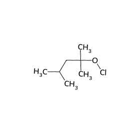 CC(C)CC(C)(C)OCl